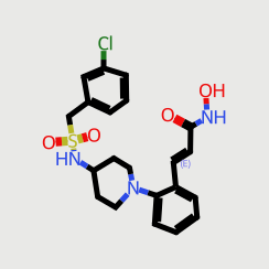 O=C(/C=C/c1ccccc1N1CCC(NS(=O)(=O)Cc2cccc(Cl)c2)CC1)NO